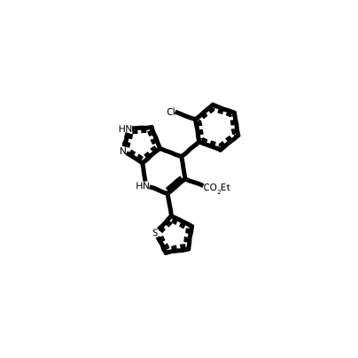 CCOC(=O)C1=C(c2cccs2)Nc2n[nH]cc2C1c1ccccc1Cl